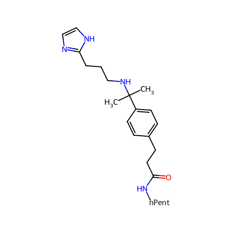 CCCCCNC(=O)CCc1ccc(C(C)(C)NCCCc2ncc[nH]2)cc1